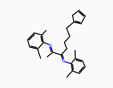 CC(=N\c1c(C)cccc1C)/C(CCCCC1=CC=CC1)=N/c1c(C)cccc1C